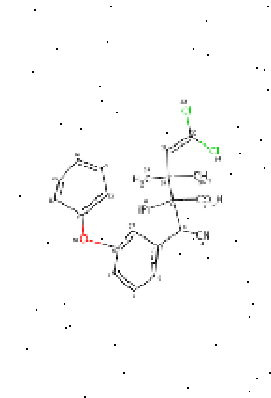 CC(C)C(C(=O)O)(C(C#N)c1cccc(Oc2ccccc2)c1)C(C)(C)C=C(Cl)Cl